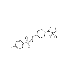 Cc1ccc(S(=O)(=O)OCC2CCC(N3CCCS3(=O)=O)CC2)cc1